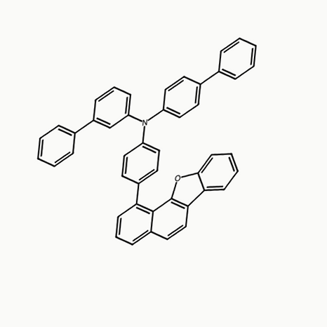 c1ccc(-c2ccc(N(c3ccc(-c4cccc5ccc6c7ccccc7oc6c45)cc3)c3cccc(-c4ccccc4)c3)cc2)cc1